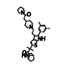 Cc1cc(C)cc(-c2[nH]c3sc(C(C)(C)C(=O)C4C5CCC4NC5)cc3c2CCN2CCC(CC(=O)N3CCCC3)CC2)c1